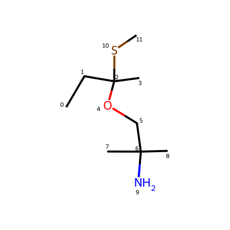 CCC(C)(OCC(C)(C)N)SC